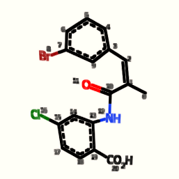 CC(=Cc1cccc(Br)c1)C(=O)Nc1cc(Cl)ccc1C(=O)O